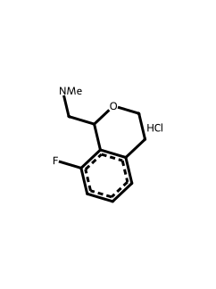 CNCC1OCCc2cccc(F)c21.Cl